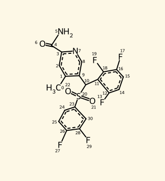 Cc1cc(C(N)=O)ncc1C(c1c(F)ccc(F)c1F)S(=O)(=O)c1ccc(F)c(F)c1